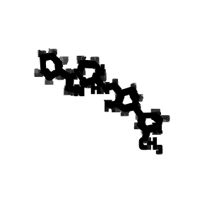 Cc1cc(-c2ccc(CNc3nccn4c(C5=CCCC=C5)cnc34)c(F)c2)ccn1